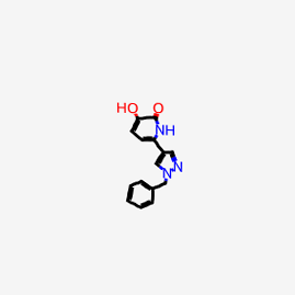 O=c1[nH]c(-c2cnn(Cc3ccccc3)c2)ccc1O